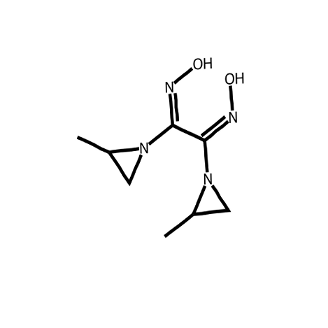 CC1CN1C(=N/O)/C(=N\O)N1CC1C